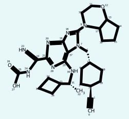 C#C[C@H]1CC[C@H](Cn2c(N3CCOC4CCCC43)nc3nc(C(=N)NC(=O)O)nc(N[C@H](C)C4CCC4)c32)CC1